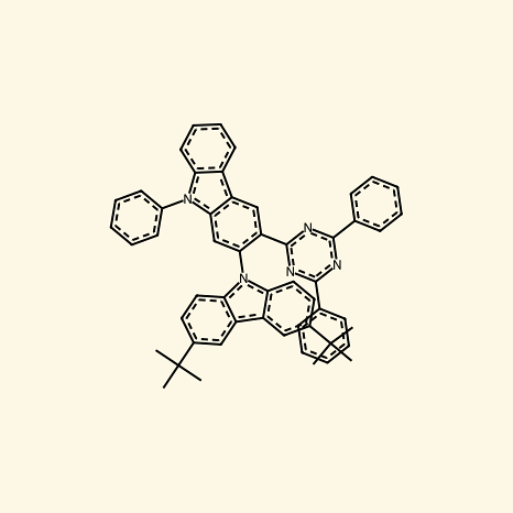 CC(C)(C)c1ccc2c(c1)c1cc(C(C)(C)C)ccc1n2-c1cc2c(cc1-c1nc(-c3ccccc3)nc(-c3ccccc3)n1)c1ccccc1n2-c1ccccc1